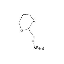 CCCCC/C=C/C1OCCCO1